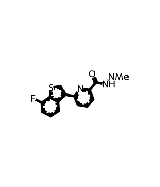 CNNC(=O)c1cccc(-c2csc3c(F)cccc23)n1